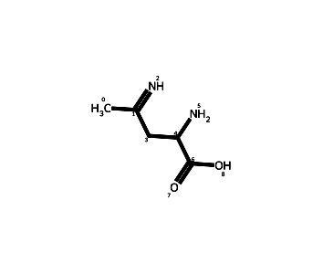 CC(=N)CC(N)C(=O)O